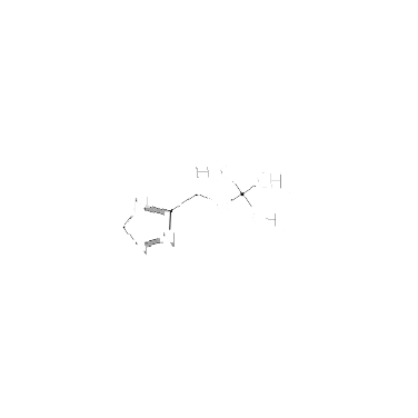 CC(C)(C)OCC1=NCN=N1